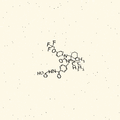 CC(C)(C)[C@H]1N(Cc2ccc(C(=O)NCCC(=O)O)cc2)C(=O)N(c2ccc(OCC(F)(F)F)cc2)CC12CCCCC2